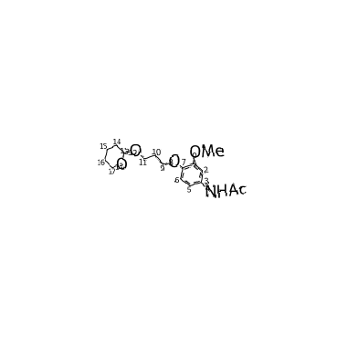 COc1cc(NC(C)=O)ccc1OCCCOC1CCCCO1